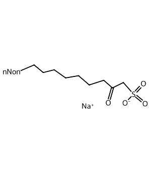 CCCCCCCCCCCCCCCCC(=O)CS(=O)(=O)[O-].[Na+]